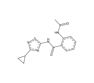 CC(=O)Nc1ccccc1C(=O)Nc1nc(C2CC2)ns1